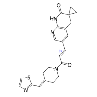 O=C(/C=C/c1cnc2c(c1)CC1(CC1)C(=O)N2)N1CCC(=Cc2nccs2)CC1